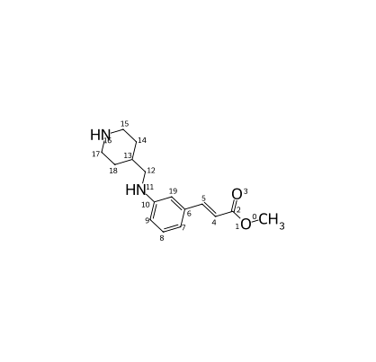 COC(=O)C=Cc1cccc(NCC2CCNCC2)c1